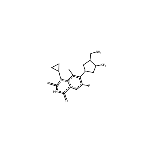 Cc1c(N2CC(CN)C(C(F)(F)F)C2)c(F)cc2c(=O)[nH]c(=O)n(C3CC3)c12